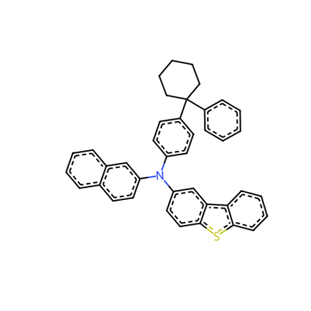 c1ccc(C2(c3ccc(N(c4ccc5ccccc5c4)c4ccc5sc6ccccc6c5c4)cc3)CCCCC2)cc1